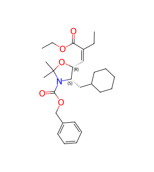 CCOC(=O)C(=C[C@H]1OC(C)(C)N(C(=O)OCc2ccccc2)[C@H]1CC1CCCCC1)CC